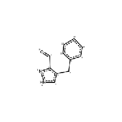 O=Cc1n[nH]cc1Cc1ccccc1